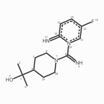 CC(C)(O)C1CCN(C(=N)n2cc(F)ccc2=N)CC1